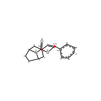 O=CC1CC2CCC(C1)N2C(=O)OCc1ccccc1